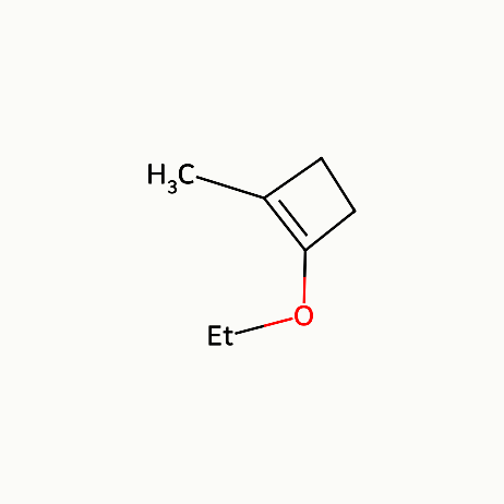 CCOC1=C(C)CC1